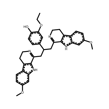 CCOc1cc(C(CC2=NCCc3c2[nH]c2cc(OC)ccc32)CC2=NCCc3c2[nH]c2cc(OC)ccc32)ccc1O